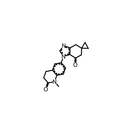 CN1C(=O)CCc2cc(-n3cnc4c3C(=O)CC3(CC3)C4)ccc21